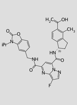 C=C(O)c1ccc2c(c1C)CC[C@@H]2NC(=O)c1cc(C(=O)NCc2ccc3oc(=O)n(C(C)C)c3c2)nc2c(F)cnn12